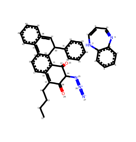 C1=CNc2ccccc2N=C1.CCCCC1=c2ccc3c(c2C(=O)C(N=[N+]=[N-])C1=O)C(c1ccccc1)C=c1ccccc1=3